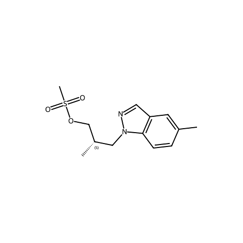 Cc1ccc2c(cnn2C[C@H](C)COS(C)(=O)=O)c1